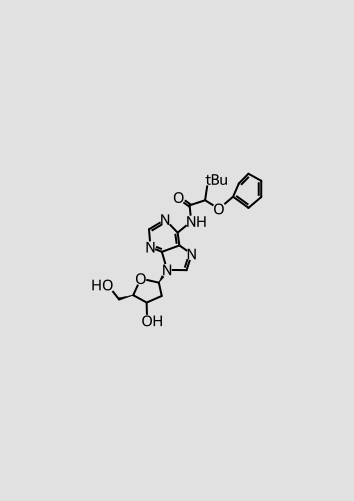 CC(C)(C)C(Oc1ccccc1)C(=O)Nc1ncnc2c1ncn2[C@H]1CC(O)[C@@H](CO)O1